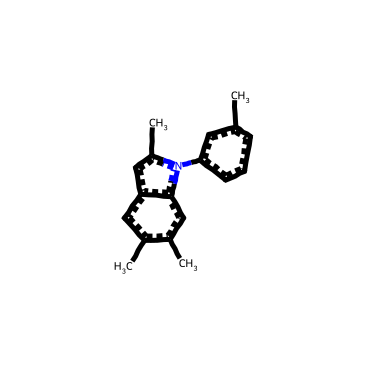 Cc1cccc(-n2c(C)cc3cc(C)c(C)cc32)c1